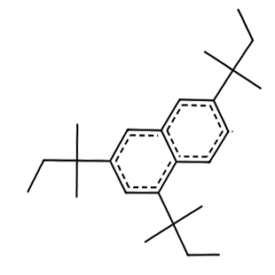 CCC(C)(C)c1[c]cc2c(C(C)(C)CC)cc(C(C)(C)CC)cc2c1